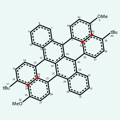 COc1ccc(-c2c3ccccc3c(-c3ccc(C(C)(C)C)cc3)c3c(-c4ccc(OC)cc4)c4ccccc4c(-c4ccc(C(C)(C)C)cc4)c23)cc1